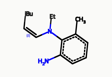 CCC(C)/C=C\N(CC)c1c(C)cccc1N